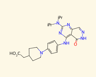 CC(C)N(c1nc(Nc2ccc(N3CCC(CC(=O)O)CC3)cc2)c2c(=O)[nH]ncc2n1)C(C)C